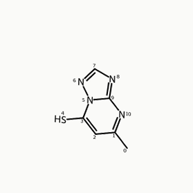 Cc1cc(S)n2ncnc2n1